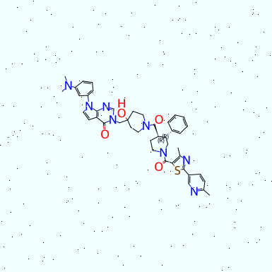 Cc1ccc(-c2nc(C)c(C(=O)N3CC[C@@H](C(=O)N4CCC(O)(Cn5cnc6c(ccn6-c6cccc(N(C)C)c6)c5=O)CC4)[C@H](c4ccccc4)C3)s2)cn1